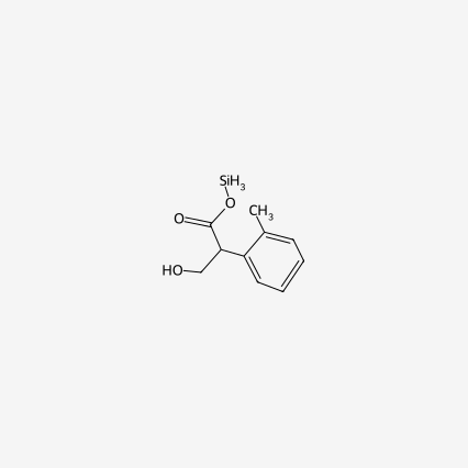 Cc1ccccc1C(CO)C(=O)O[SiH3]